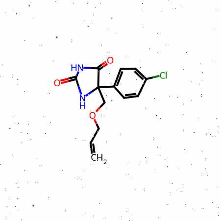 C=CCOCC1(c2ccc(Cl)cc2)NC(=O)NC1=O